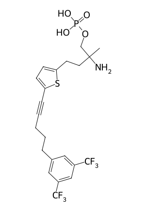 CC(N)(CCc1ccc(C#CCCCc2cc(C(F)(F)F)cc(C(F)(F)F)c2)s1)COP(=O)(O)O